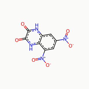 O=c1[nH]c2cc([N+](=O)[O-])cc([N+](=O)[O-])c2[nH]c1=O